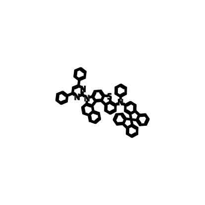 c1ccc(-c2cc(-c3ccccc3)nc(-n3c4ccc5ccccc5c4c4c5c(ccc43)sc3c(N(c4ccccc4)c4ccc6c(c4)C4(c7ccccc7-c7ccccc74)c4ccccc4-6)cccc35)n2)cc1